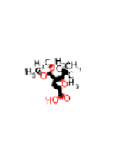 COC(OC)c1cc(C(=O)O)oc1C(C)(C)C